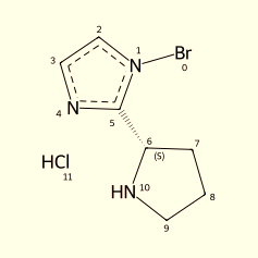 Brn1ccnc1[C@@H]1CCCN1.Cl